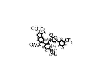 CCOC(=O)C[C@@H]1CCc2cc(OC)c(-c3ccc(N4CCC4)nc3CN3C(=O)OC(c4cccc(C(F)(F)F)c4)[C@@H]3C)cc21